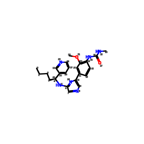 CCCC[C@H](Nc1cncc(-c2ccc(NC(=O)NC)c(OC)c2)n1)c1cccnc1